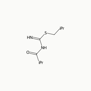 CC(C)CSC(=N)NC(=O)C(C)C